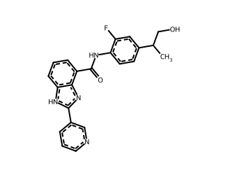 CC(CO)c1ccc(NC(=O)c2cccc3[nH]c(-c4cccnc4)nc23)c(F)c1